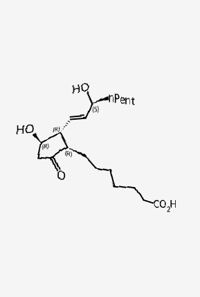 CCCCC[C@H](O)C=C[C@H]1[C@H](O)CC(=O)[C@@H]1CCCCCCC(=O)O